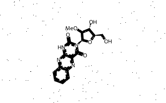 COC1[C@H](n2c(=O)[nH]c3nc4ccccc4nc3c2=O)O[C@H](CO)[C@H]1O